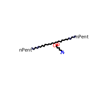 CCCCC/C=C/C/C=C/CCCCCCCCC(CCCCCCCC/C=C/C/C=C/CCCCC)OC(=O)CCCCN(C)C